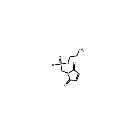 NCCOP(=O)(O)CN1C(=O)C=CC1=O